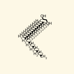 C=C.C=C.C=C.C=C.C=C.C=C.C=C.C=C.C=C.C=C.C=C.C=C.C=C.C=C.C=C.OCCO